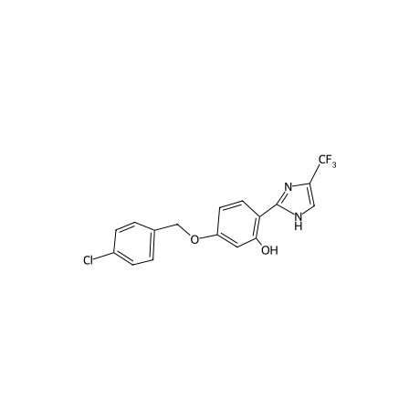 Oc1cc(OCc2ccc(Cl)cc2)ccc1-c1nc(C(F)(F)F)c[nH]1